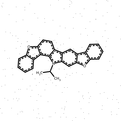 CC(C)n1c2cc3oc4ccccc4c3cc2c2ccc3oc4ccccc4c3c21